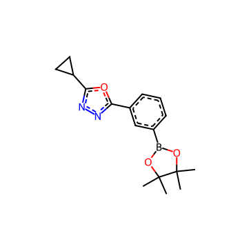 CC1(C)OB(c2cccc(-c3nnc(C4CC4)o3)c2)OC1(C)C